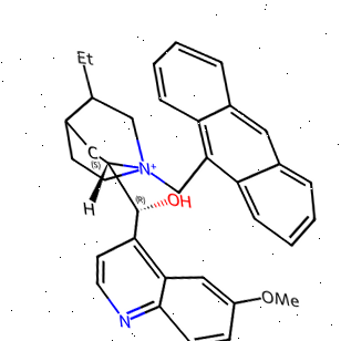 CCC1C[N+]2(Cc3c4ccccc4cc4ccccc34)CCC1C[C@H]2[C@H](O)c1ccnc2ccc(OC)cc12